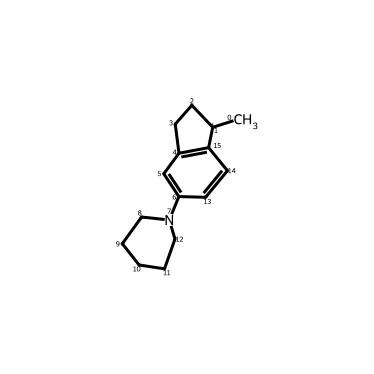 C[C]1CCc2cc(N3CCCCC3)ccc21